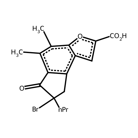 CCCC1(Br)Cc2c(c(C)c(C)c3oc(C(=O)O)cc23)C1=O